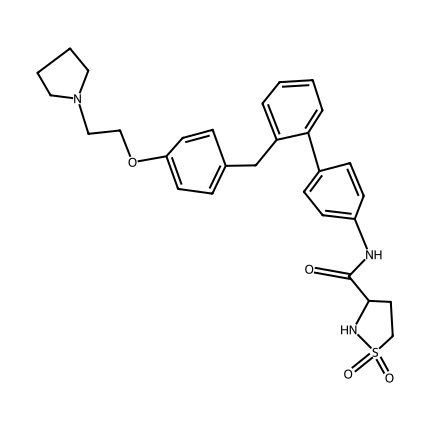 O=C(Nc1ccc(-c2ccccc2Cc2ccc(OCCN3CCCC3)cc2)cc1)C1CCS(=O)(=O)N1